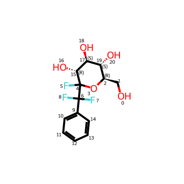 OC[C@H]1OC(F)(C(F)(F)c2ccccc2)[C@H](O)[C@@H](O)[C@@H]1O